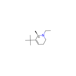 CCN1CCC=C(C(C)(C)C)[C@H]1C